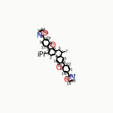 CC(C)c1ccc(CC(C)c2ccc3oc4cc(-c5ncco5)ccc4c3c2)c2oc3cc(-c4ncco4)ccc3c12